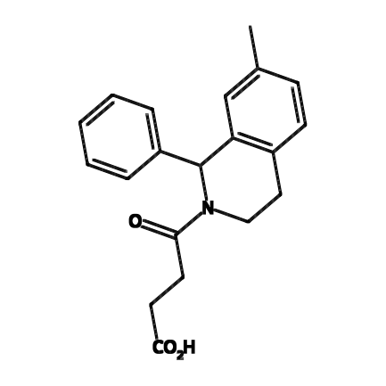 Cc1ccc2c(c1)C(c1ccccc1)N(C(=O)CCC(=O)O)CC2